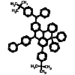 CC(C)(C)c1ccc(-c2cc3c4c(c2)S(c2ccccc2)(c2ccccc2)c2ccccc2B4c2cc(N(c4ccccc4)c4ccc(C(C)(C)C)cc4)ccc2N3c2ccc(-c3ccccc3)cc2)cc1